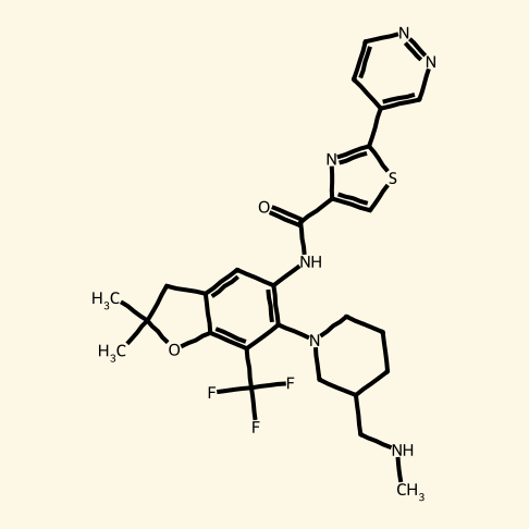 CNCC1CCCN(c2c(NC(=O)c3csc(-c4ccnnc4)n3)cc3c(c2C(F)(F)F)OC(C)(C)C3)C1